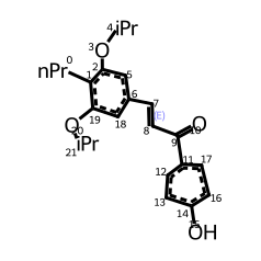 CCCc1c(OC(C)C)cc(/C=C/C(=O)c2ccc(O)cc2)cc1OC(C)C